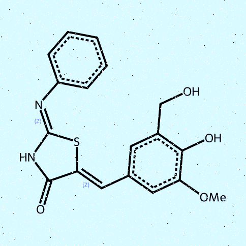 COc1cc(/C=C2\S/C(=N\c3ccccc3)NC2=O)cc(CO)c1O